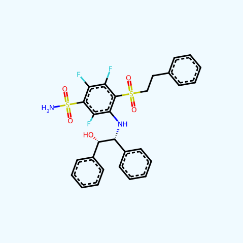 NS(=O)(=O)c1c(F)c(F)c(S(=O)(=O)CCc2ccccc2)c(N[C@H](c2ccccc2)[C@@H](O)c2ccccc2)c1F